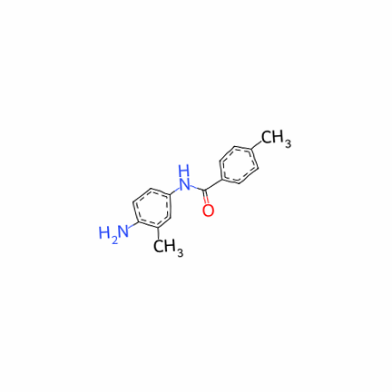 Cc1ccc(C(=O)Nc2ccc(N)c(C)c2)cc1